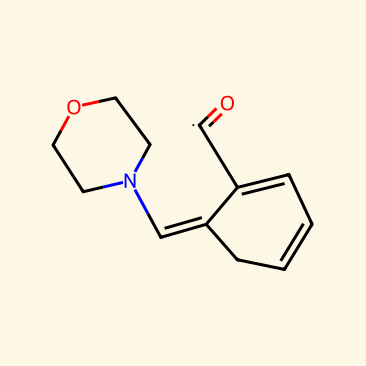 O=[C]C1=CC=CCC1=CN1CCOCC1